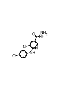 NNC(=O)c1cnc(Nc2ccc(Cl)cc2)c(Cl)c1